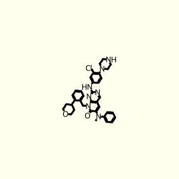 CN(c1ccccc1)c1cc2cnc(Nc3ccc(N4CCNCC4)c(Cl)c3)nc2n(Cc2ccccc2C2CCOCC2)c1=O